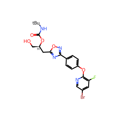 CC(C)(C)NC(=O)O[C@H](CO)Cc1nc(-c2ccc(Oc3ncc(Br)cc3F)cc2)no1